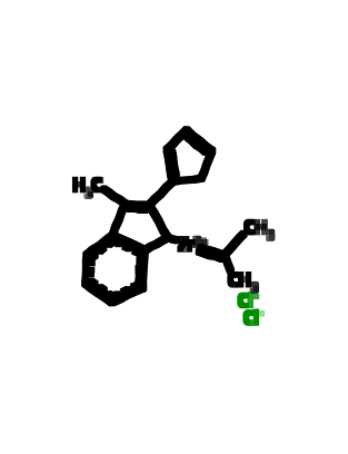 C[C](C)=[Zr+2][CH]1C(C2=CC=CC2)=C(C)c2ccccc21.[Cl-].[Cl-]